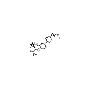 CC[C@@H]1CC[C@@H](C)C[C@H]1Oc1ccc(-c2ccc(OC(F)(F)F)cc2)cc1[N+](=O)[O-]